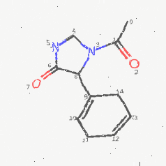 CC(=O)N1C[N]C(=O)C1C1=CCC=CC1